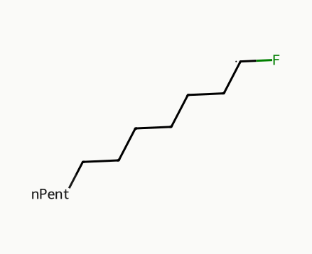 CCCCCCCCCCC[CH]F